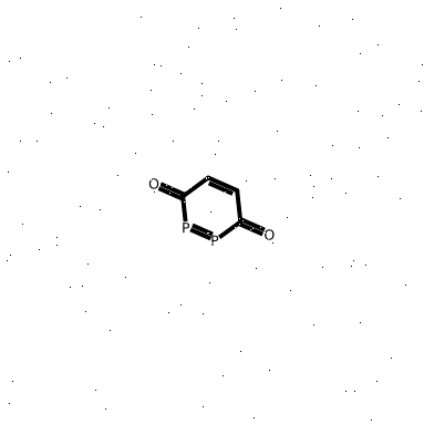 O=C1C=CC(=O)P=P1